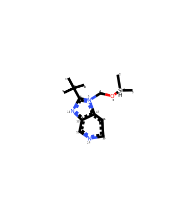 C[SiH](C)OCn1c(C(C)(C)C)nc2cnccc21